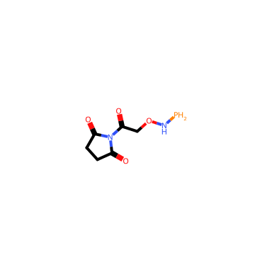 O=C1CCC(=O)N1C(=O)CONP